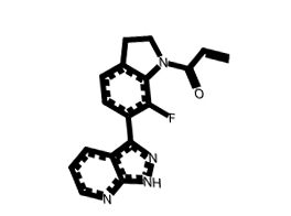 C=CC(=O)N1CCc2ccc(-c3n[nH]c4ncccc34)c(F)c21